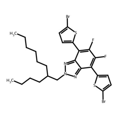 CCCCCCC(CCCC)Cn1nc2c(-c3ccc(Br)s3)c(F)c(F)c(-c3ccc(Br)s3)c2n1